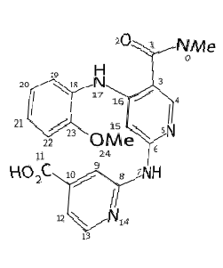 CNC(=O)c1cnc(Nc2cc(C(=O)O)ccn2)cc1Nc1ccccc1OC